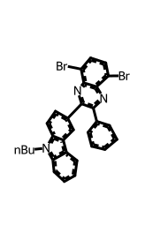 CCCCn1c2ccccc2c2cc(-c3nc4c(Br)ccc(Br)c4nc3-c3ccccc3)ccc21